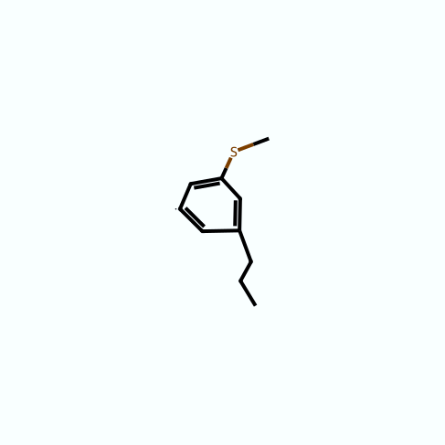 CCCc1c[c]cc(SC)c1